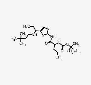 CCCC(NC(=O)OC(C)(C)C)C(=O)Nc1ncc(C(CC)NCCC(C)(C)C)s1